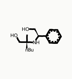 CCCC[C@](C)(CO)N[C@@H](CO)c1ccccc1